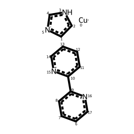 [Cu].c1c[nH]cn1.c1ccc(-c2ccccn2)nc1